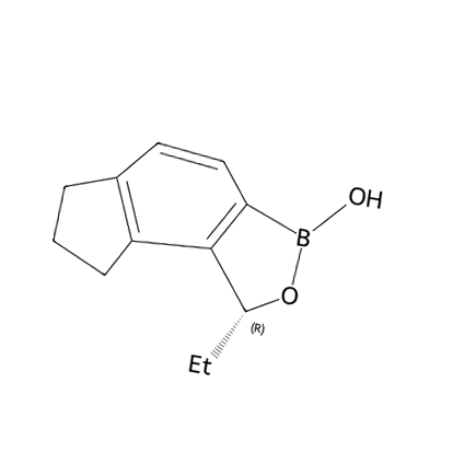 CC[C@H]1OB(O)c2ccc3c(c21)CCC3